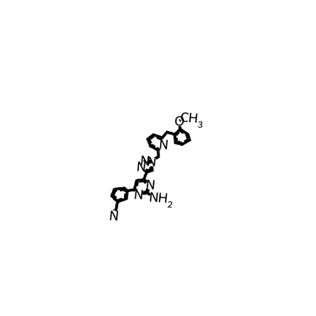 COc1ccccc1Cc1cccc(Cn2cc(-c3cc(-c4cccc(C#N)c4)nc(N)n3)nn2)n1